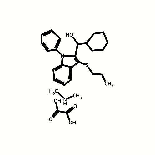 CCCSc1c(C(O)C2CCCCC2)n(-c2ccccc2)c2ccccc12.CNC.O=C(O)C(=O)O